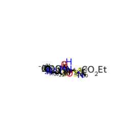 CCOC(=O)c1sc(SCC(=O)N[C@@H]2C(=O)N3C(C(=O)[O-])=C(C=CC[n+]4ccccc4)CS[C@H]23)nc1C